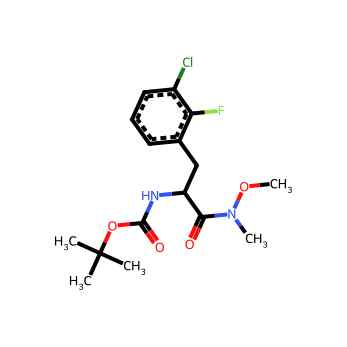 CON(C)C(=O)C(Cc1cccc(Cl)c1F)NC(=O)OC(C)(C)C